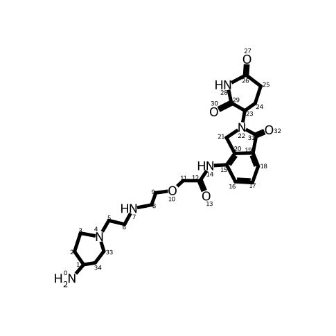 NC1CCN(CCNCCOCC(=O)Nc2cccc3c2CN(C2CCC(=O)NC2=O)C3=O)CC1